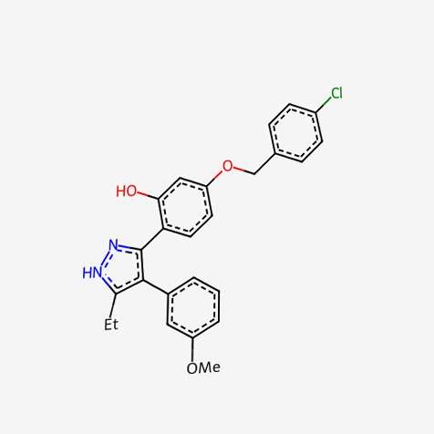 CCc1[nH]nc(-c2ccc(OCc3ccc(Cl)cc3)cc2O)c1-c1cccc(OC)c1